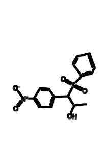 CC(O)C(c1ccc([N+](=O)[O-])cc1)S(=O)(=O)c1ccccc1